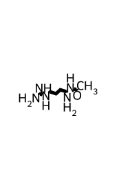 CC(=O)NC(N)CCCNC(=N)N